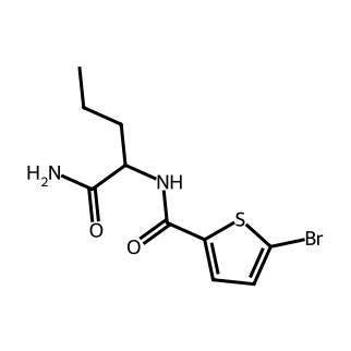 CCCC(NC(=O)c1ccc(Br)s1)C(N)=O